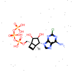 Nc1nc(Cl)nc2c1ncn2[C@H]1[C@H](O)[C@H](O)[C@]2(COP(=O)(O)OP(=O)(O)OP(=O)(O)O)C=C[C@H]12